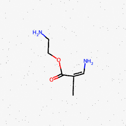 CC(=CN)C(=O)OCCN